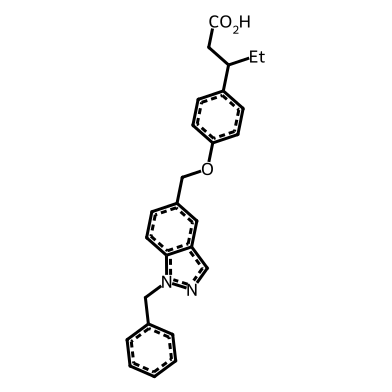 CCC(CC(=O)O)c1ccc(OCc2ccc3c(cnn3Cc3ccccc3)c2)cc1